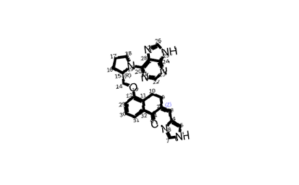 O=C1/C(=C\c2c[nH]cn2)CCc2c(OC[C@H]3CCCN3c3ncnc4[nH]cnc34)cccc21